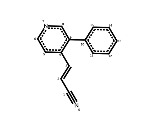 N#CC=Cc1ccncc1-c1ccccc1